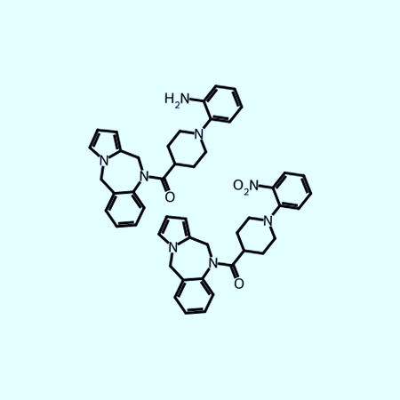 Nc1ccccc1N1CCC(C(=O)N2Cc3cccn3Cc3ccccc32)CC1.O=C(C1CCN(c2ccccc2[N+](=O)[O-])CC1)N1Cc2cccn2Cc2ccccc21